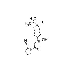 CC(C)C1(O)CC2CC(NCC(=O)N3CCCC3C#N)CC2C1.Cl